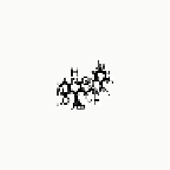 COc1nccc2[nH]c(=O)c([C@@H](C)C(=O)N[C@@H](C)c3ccc(F)cc3F)c(C3CC3)c12